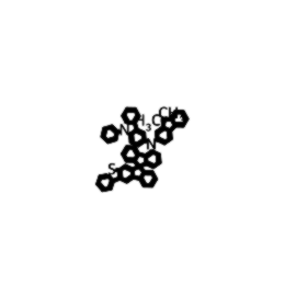 CC1(C)c2ccccc2-c2ccc(N(c3ccc4c(c3)c3ccccc3n4-c3ccccc3)c3cccc4c3-c3ccccc3C43c4ccccc4-c4cc5c(cc43)sc3ccccc35)cc21